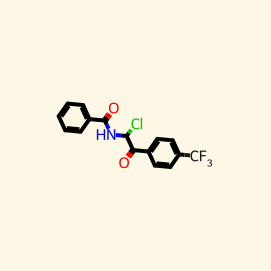 O=C(NC(Cl)C(=O)c1ccc(C(F)(F)F)cc1)c1ccccc1